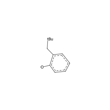 CC(C)(C)Cc1ccccc1[O]